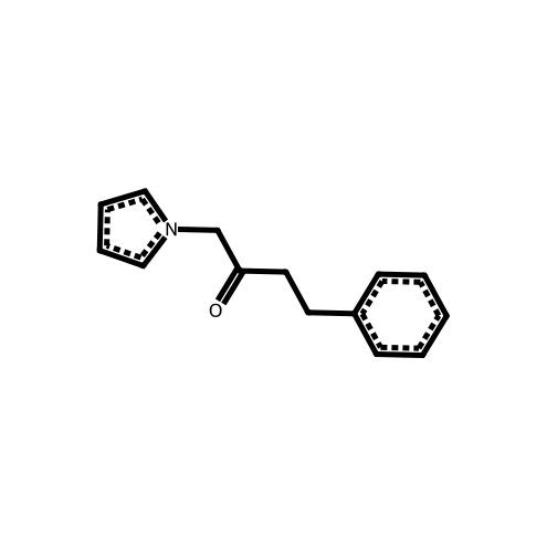 O=C(CCc1ccccc1)Cn1cccc1